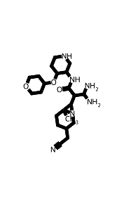 CC12CCC(CC#N)CN1C2C(C(=O)NC1CNCCC1OC1CCOCC1)C(N)N